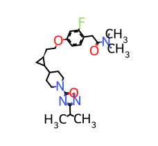 CC(C)c1noc(N2CCC(C3C[C@H]3CCOc3ccc(CC(=O)N(C)C)c(F)c3)CC2)n1